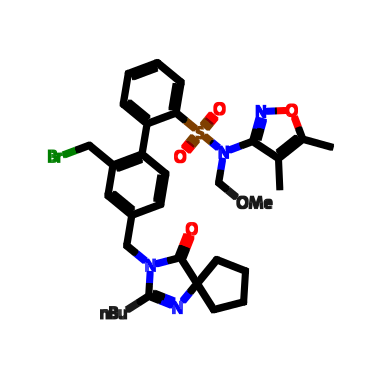 CCCCC1=NC2(CCCC2)C(=O)N1Cc1ccc(-c2ccccc2S(=O)(=O)N(COC)c2noc(C)c2C)c(CBr)c1